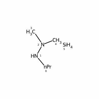 CCCNN(C)C.[SiH4]